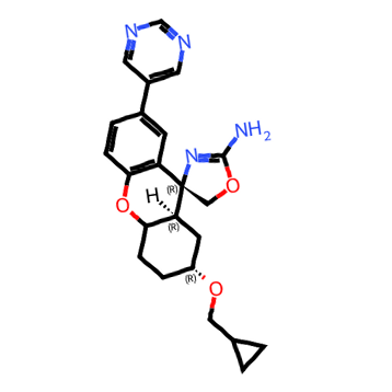 NC1=N[C@@]2(CO1)c1cc(-c3cncnc3)ccc1OC1CC[C@@H](OCC3CC3)C[C@@H]12